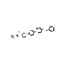 CN(C(=O)OC(C)(C)C)[C@H]1CCN(c2ccc(-n3ccc(OCc4ccccc4)cc3=O)cn2)C1